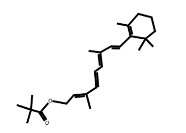 CC(C=CC1=C(C)CCCC1(C)C)=CC=CC(C)=CCOC(=O)C(C)(C)C